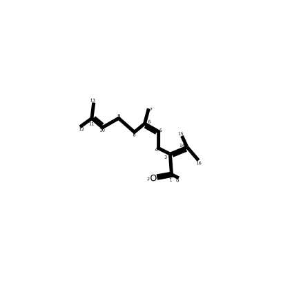 CC(=O)C(CC=C(C)CCC=C(C)C)=C(C)C